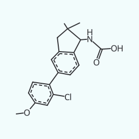 COc1ccc(-c2ccc3c(c2)CC(C)(C)C3NC(=O)O)c(Cl)c1